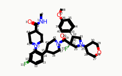 CNC(=O)C1CCN(c2cc(F)ccc2C2CCN(C(=O)[C@]3(F)CN(C4CCOCC4)C[C@H]3c3ccc(OC)cc3)CC2)CC1